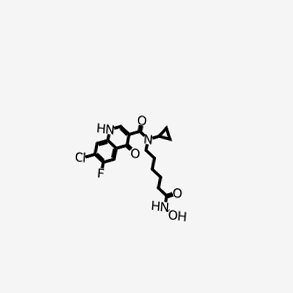 O=C(CCCCCN(C(=O)c1c[nH]c2cc(Cl)c(F)cc2c1=O)C1CC1)NO